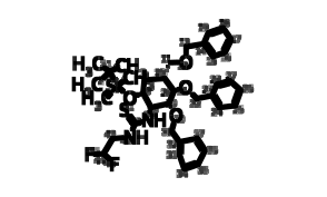 CC(C)(C)[Si](C)(C)O[C@H]1C[C@H](COCc2ccccc2)[C@@H](OCc2ccccc2)[C@H](OCc2ccccc2)[C@H]1NC(=S)NCC(F)F